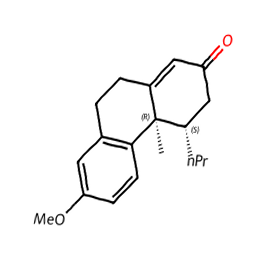 CCC[C@H]1CC(=O)C=C2CCc3cc(OC)ccc3[C@@]21C